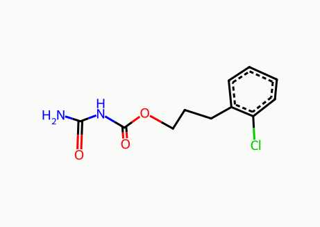 NC(=O)NC(=O)OCCCc1ccccc1Cl